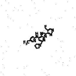 FCc1cncnc1-c1cnc2c(Nc3ccc(C(F)(F)F)cn3)cc(CN3CCCC3)nc2n1